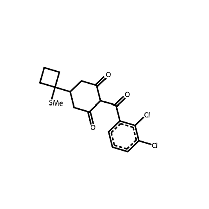 CSC1(C2CC(=O)C(C(=O)c3cccc(Cl)c3Cl)C(=O)C2)CCC1